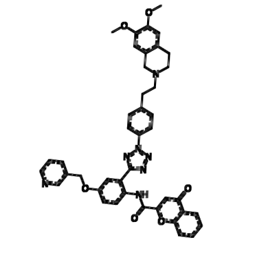 COc1cc2c(cc1OC)CN(CCc1ccc(-n3nnc(-c4cc(OCc5cccnc5)ccc4NC(=O)c4cc(=O)c5ccccc5o4)n3)cc1)CC2